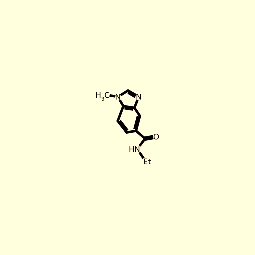 CCNC(=O)c1ccc2c(c1)ncn2C